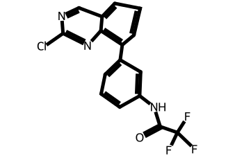 O=C(Nc1cccc(-c2cccc3cnc(Cl)nc23)c1)C(F)(F)F